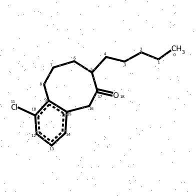 CCCCCC1CCCc2c(Cl)cccc2CC1=O